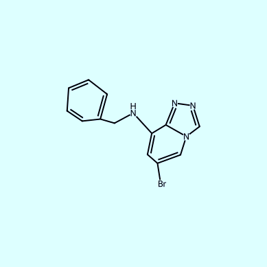 Brc1cc(NCc2ccccc2)c2nncn2c1